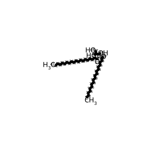 CCCCCCCCCCCCCCCCCCCC(=O)P(C(=O)CCCCCCCCCCCCCCCCCCC)C(O)C(O)CO